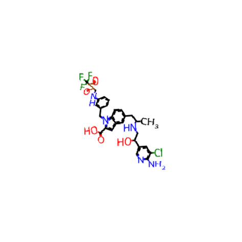 CC(Cc1ccc2c(c1)cc(C(=O)O)n2Cc1cccc(NCS(=O)(=O)C(F)(F)F)c1)NCC(O)c1cnc(N)c(Cl)c1